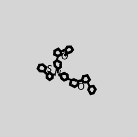 c1ccc(-c2cccc3c2oc2ccc(-c4ccc(N(c5ccc(-c6cccc7c6oc6ccccc67)cc5)c5cccc6c5sc5ccccc56)cc4)cc23)cc1